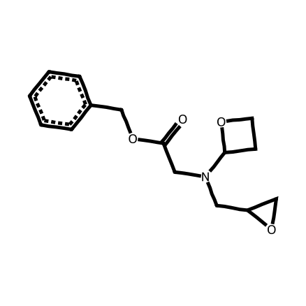 O=C(CN(CC1CO1)C1CCO1)OCc1ccccc1